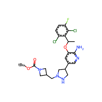 CC(Oc1cc(C2CNN(CC3CN(C(=O)OC(C)(C)C)C3)C2)cnc1N)c1c(Cl)ccc(F)c1Cl